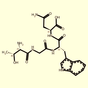 C[C@@H](O)[C@H](N)C(=O)NCC(=O)N[C@@H](Cc1c[nH]c2ccccc12)C(=O)N[C@@H](CC(N)=O)C(=O)O